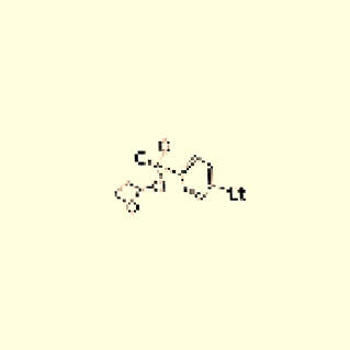 CCc1ccc(S(=O)(=O)OC2CCO2)cc1